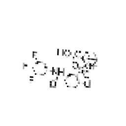 O=C(O)CC1(O)C2CC1CC(S(=O)(=O)c1cc(C(=O)Nc3cc(F)c(F)c(F)c3)ccc1Cl)C2